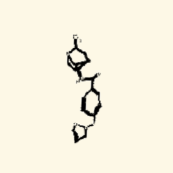 CC1CC2CCN1CC2NC(=O)c1ccc(SN2CC=CO2)cc1